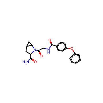 NC(=O)C1CC2CC2N1C(=O)CNC(=O)c1ccc(Oc2ccccc2)cc1